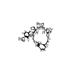 CCC[C@@H]1NC(=O)[C@@H](C(C)C)NC(=O)[C@@H](Cc2ccc(O)cc2)NCCOc2ccccc2CCCOC1=O